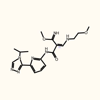 COCCN/C=C(\C(=N)OC)C(=O)Nc1cccc(-c2nncn2C(C)C)n1